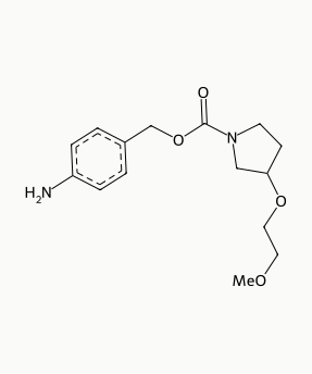 COCCOC1CCN(C(=O)OCc2ccc(N)cc2)C1